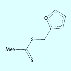 CSC(=S)SCc1ccco1